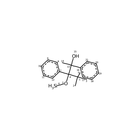 CC(C)(C)C(O[SiH3])(c1ccccc1)C(C)(O)c1ccccc1